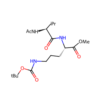 COC(=O)[C@H](CCCNC(=O)OC(C)(C)C)NC(=O)[C@@H](NC(C)=O)C(C)C